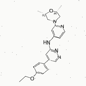 CCOc1ccc(-c2cnnc(Nc3ccnc(N4C[C@@H](C)O[C@@H](C)C4)c3)c2)cc1